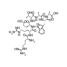 C[C@H](NC(=O)[C@H](Cc1c[nH]c2ccccc12)NC(=O)[C@H](C)NC(=O)[C@@H](NC(=O)[C@H](CCC(=O)O)NC(=O)[C@H](CCCNC(=N)N)NC(=O)[C@@H](N)CCCNC(=N)N)[C@@H](C)O)C(=O)O